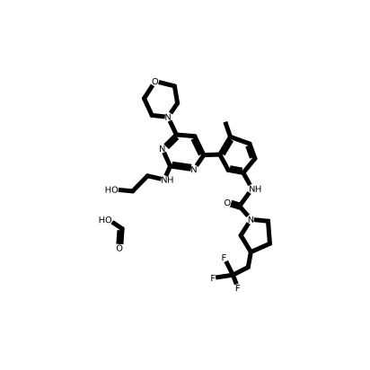 Cc1ccc(NC(=O)N2CCC(CC(F)(F)F)C2)cc1-c1cc(N2CCOCC2)nc(NCCO)n1.O=CO